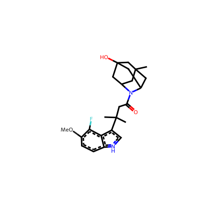 COc1ccc2[nH]cc(C(C)(C)CC(=O)N3C4CC5(C)CC3CC(O)(C4)C5)c2c1F